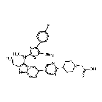 CCc1nc2ccc(-c3cnc(C4CCN(CC(=O)O)CC4)nc3)cn2c1N(C)c1nc(-c2ccc(F)cc2)c(C#N)s1